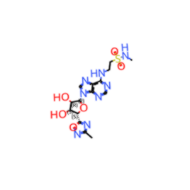 CNS(=O)(=O)CCNc1ncnc2c1ncn2[C@@H]1O[C@H](c2nc(C)no2)[C@@H](O)[C@H]1O